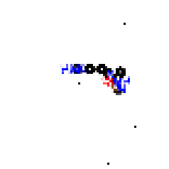 O=C(Nc1nccs1)[C@@H](c1ccccc1)N1Cc2ccc(-c3ccc(N4CCNCC4)cc3)cc2C1=O